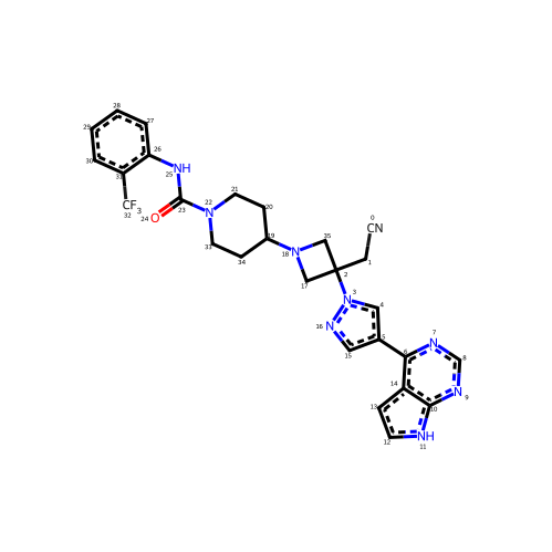 N#CCC1(n2cc(-c3ncnc4[nH]ccc34)cn2)CN(C2CCN(C(=O)Nc3ccccc3C(F)(F)F)CC2)C1